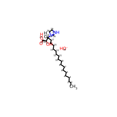 CCCCCCCCCCCCCCCCCCC(C)(C(O)C(=O)O)[N+]1=CNCC1.[OH-]